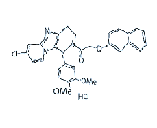 COc1ccc(C2c3c(nc4cc(Cl)ccn34)CCN2C(=O)COc2ccc3ccccc3c2)cc1OC.Cl